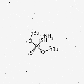 CCCCOP(=S)(S)OCCCC.N